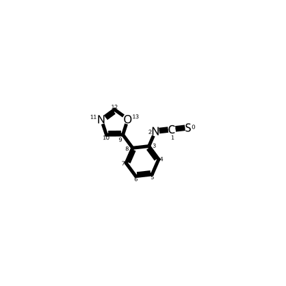 S=C=Nc1ccccc1-c1cnco1